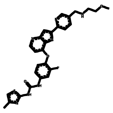 COCCNCc1ccc(-c2cc3nccc(Oc4ccc(NC(=O)Nc5nc(C)cs5)cc4F)c3s2)nc1